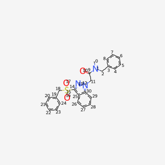 CN(Cc1ccccc1)C(=O)Cn1nc(S(=O)(=O)Cc2ccccc2)c2ccccc21